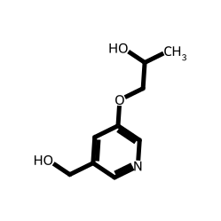 CC(O)COc1cncc(CO)c1